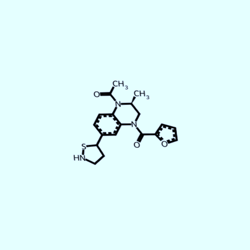 CC(=O)N1c2ccc(C3CCNS3)cc2N(C(=O)c2ccco2)C[C@@H]1C